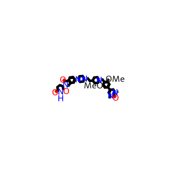 COc1cc(C2=CN(C)C(=O)N(C)C2)cc(OC)c1CN1CCC(CCN2CCN(c3ccc4c(c3)CN(C3CCC(=O)NC3=O)C4=O)CC2)CC1